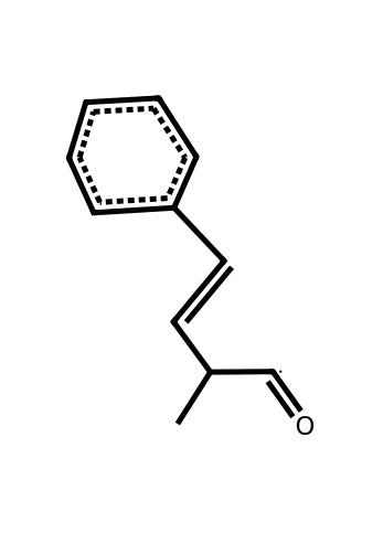 CC([C]=O)C=Cc1ccccc1